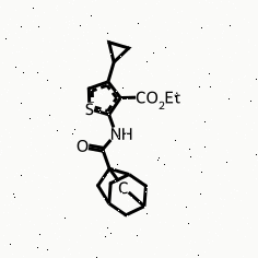 CCOC(=O)c1c(C2CC2)csc1NC(=O)C12CC3CC(CC1C3)C2